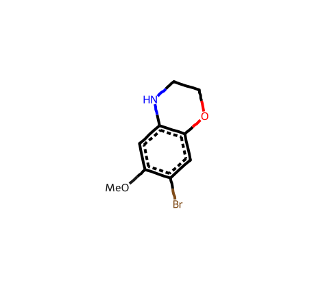 COc1cc2c(cc1Br)OCCN2